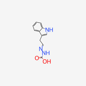 O=C(O)NN=CCc1c[nH]c2ccccc12